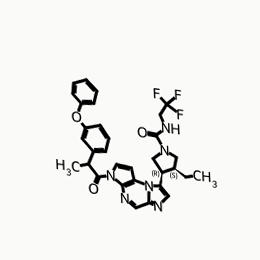 CC[C@@H]1CN(C(=O)NCC(F)(F)F)C[C@@H]1c1cnc2cnc3c(ccn3C(=O)C(C)c3cccc(Oc4ccccc4)c3)n12